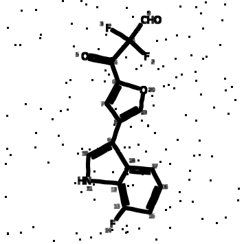 O=CC(F)(F)C(=O)c1cc(-c2c[nH]c3c(F)cccc23)co1